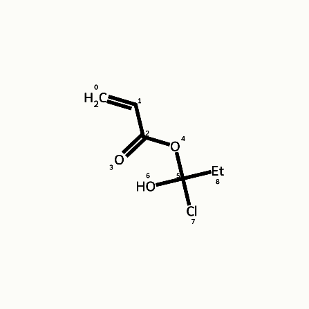 C=CC(=O)OC(O)(Cl)CC